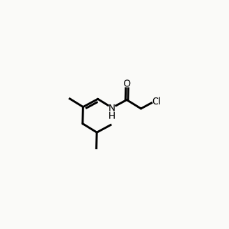 CC(=CNC(=O)CCl)CC(C)C